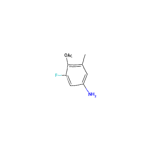 CC(=O)Oc1c(C)cc(N)cc1F